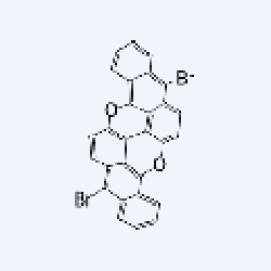 Brc1c2ccccc2c2oc3ccc4c(Br)c5ccccc5c5oc6ccc1c2c6-c3c45